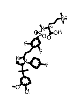 COc1cc(C(C)(C)c2cnc(CCc3c(F)cc(S(=O)(=O)N(C)[C@@H](CCC[N+](C)(C)C)C(=O)O)cc3F)n2-c2ccc(F)cc2)ccc1Cl